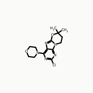 CC1(C)CCn2c(nc3c(N4CCOCC4)nc(Cl)nc32)O1